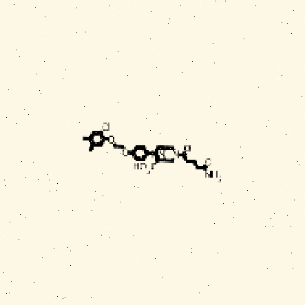 Cc1cc(Cl)c(OCCOc2ccc(C3=C(C(=O)O)C4CN(C(=O)CCCC(N)=O)CC(C3)N4)cc2)cc1C